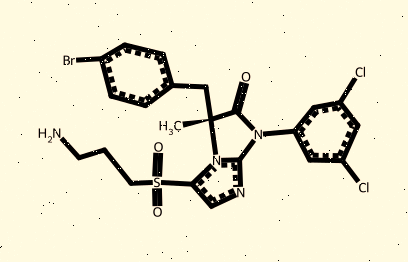 C[C@@]1(Cc2ccc(Br)cc2)C(=O)N(c2cc(Cl)cc(Cl)c2)c2ncc(S(=O)(=O)CCCN)n21